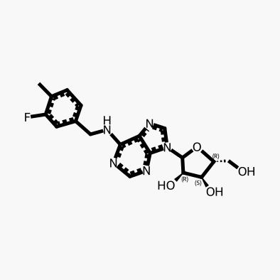 Cc1ccc(CNc2ncnc3c2ncn3C2O[C@H](CO)[C@@H](O)[C@H]2O)cc1F